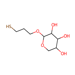 OC1COC(OCCCS)C(O)C1O